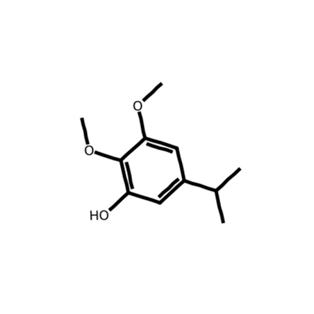 COc1cc(C(C)C)cc(O)c1OC